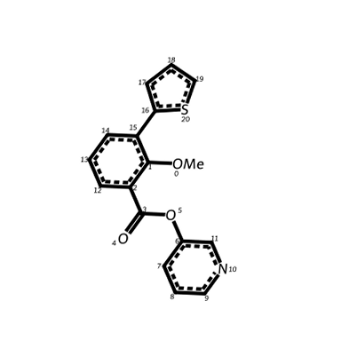 COc1c(C(=O)Oc2cccnc2)cccc1-c1cccs1